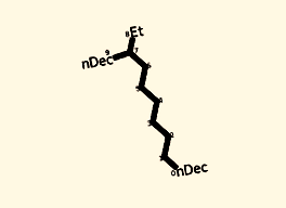 [CH2]CCCCCCCCCCCCCCCC(CC)CCCCCCCCC[CH2]